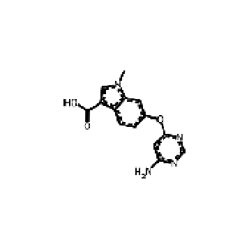 Cn1cc(C(=O)O)c2ccc(Oc3cc(N)ncn3)cc21